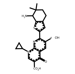 CC1(C)CCc2cc(-c3nc4c(cc3F)c(=O)c(C(=O)O)cn4C3CC3)sc2C1N.Cl